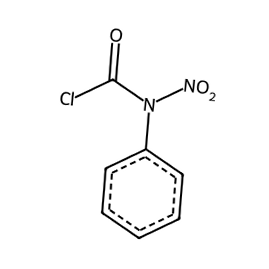 O=C(Cl)N(c1ccccc1)[N+](=O)[O-]